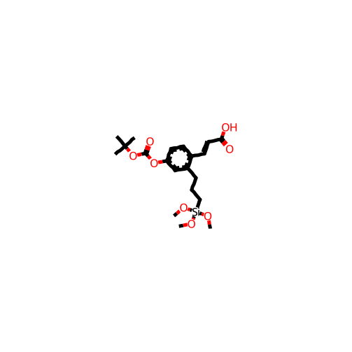 CO[Si](CCCc1cc(OC(=O)OC(C)(C)C)ccc1C=CC(=O)O)(OC)OC